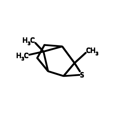 CC1(C)C2CCC1C1(C)SC21